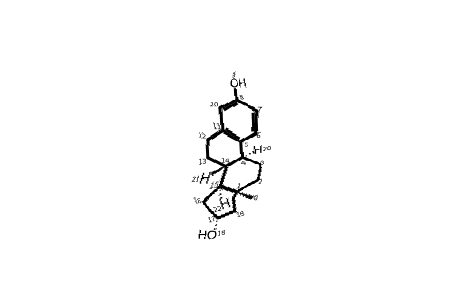 C[C@]12CC[C@@H]3c4ccc(O)cc4CC[C@H]3[C@@H]1C[C@@H](O)C2